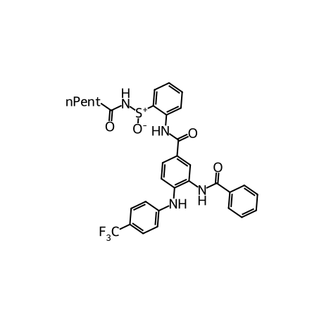 CCCCCC(=O)N[S+]([O-])c1ccccc1NC(=O)c1ccc(Nc2ccc(C(F)(F)F)cc2)c(NC(=O)c2ccccc2)c1